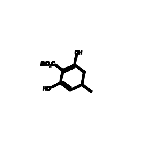 CCOC(=O)C1=C(O)CC(C)C=C1O